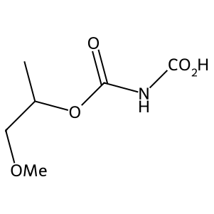 COCC(C)OC(=O)NC(=O)O